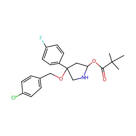 CC(C)(C)C(=O)OC1CC(OCc2ccc(Cl)cc2)(c2ccc(F)cc2)CN1